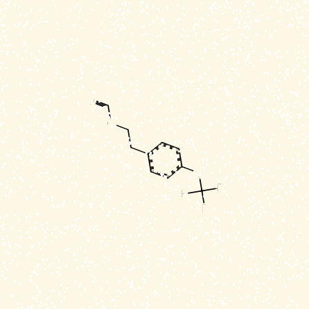 O=[C]OCCc1ccc(OC(F)(F)F)cc1